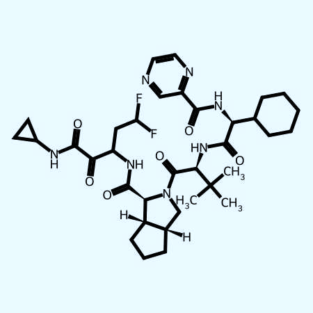 CC(C)(C)[C@H](NC(=O)[C@@H](NC(=O)c1cnccn1)C1CCCCC1)C(=O)N1C[C@@H]2CCC[C@@H]2[C@H]1C(=O)NC(CC(F)F)C(=O)C(=O)NC1CC1